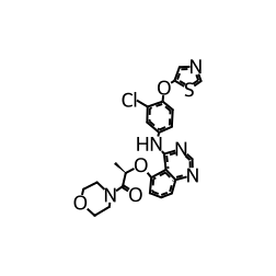 C[C@@H](Oc1cccc2ncnc(Nc3ccc(Oc4cncs4)c(Cl)c3)c12)C(=O)N1CCOCC1